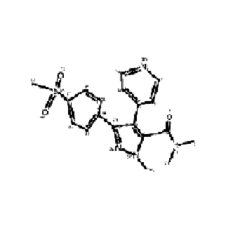 CN(C)C(=O)c1c(-c2ccncc2)c(-c2ccc(S(C)(=O)=O)cc2)nn1C